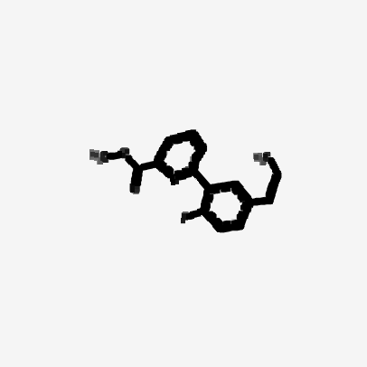 C/C=C\c1ccc(F)c(-c2cccc(C(=O)OC)n2)c1